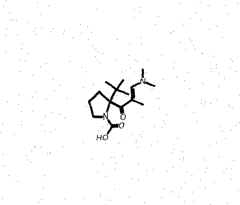 CC(=CN(C)C)C(=O)C1(C(C)(C)C)CCCN1C(=O)O